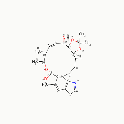 Cc1cc2c(c3c1C(=O)O[C@@H](C)[C@H](C)/C=C\C(=O)[C@H]1OC(C)(C)O[C@H]1CCC3)N=CC2